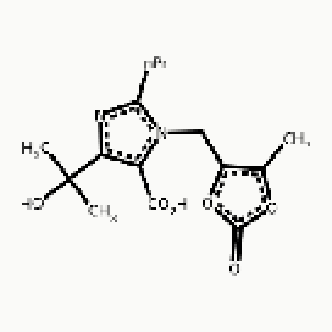 CCCc1nc(C(C)(C)O)c(C(=O)O)n1Cc1oc(=O)oc1C